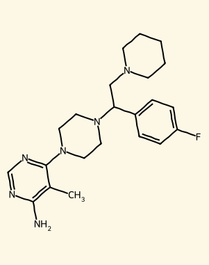 Cc1c(N)ncnc1N1CCN(C(CN2CCCCC2)c2ccc(F)cc2)CC1